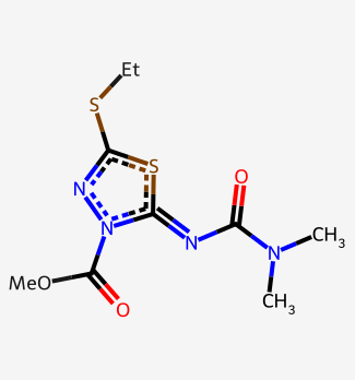 CCSc1nn(C(=O)OC)c(=NC(=O)N(C)C)s1